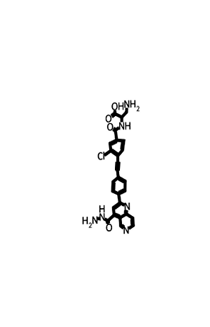 NCC(NC(=O)c1ccc(C#Cc2ccc(-c3cc(C(=O)NN)c4cnccc4n3)cc2)c(Cl)c1)C(=O)O